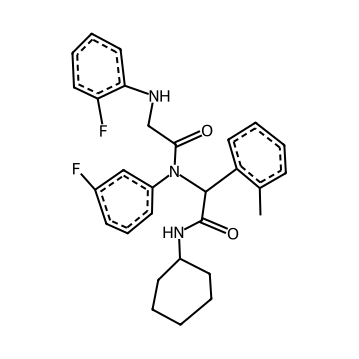 Cc1ccccc1C(C(=O)NC1CCCCC1)N(C(=O)CNc1ccccc1F)c1cccc(F)c1